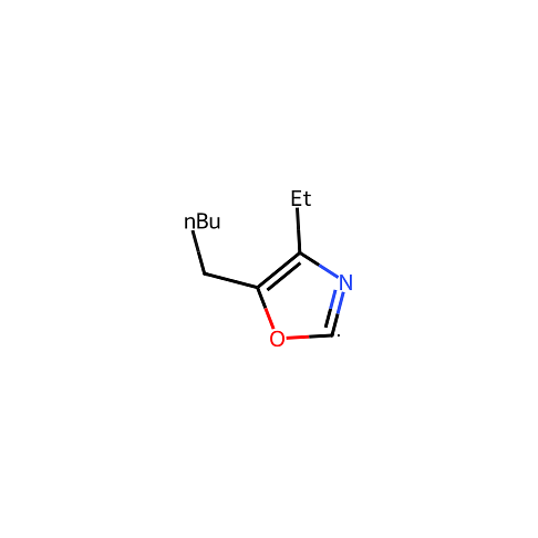 CCCCCc1o[c]nc1CC